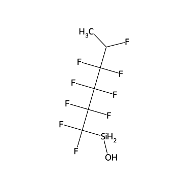 CC(F)C(F)(F)C(F)(F)C(F)(F)C(F)(F)[SiH2]O